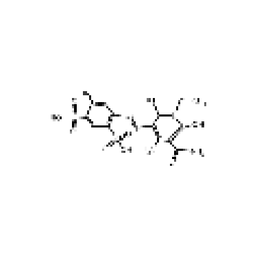 CCN1C(O)=C(C(N)=O)C(C)=C(N=Nc2cc([NH])c(S(=O)(=O)O)cc2S(=O)(=O)O)C1O